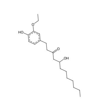 CCCCCCCC(O)CC(=O)CCc1ccc(O)c(OCC)c1